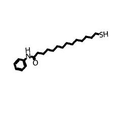 O=C(CCCCCCCCCCCCCS)Nc1ccccc1